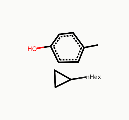 CCCCCCC1CC1.Cc1ccc(O)cc1